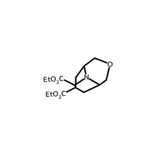 CCOC(=O)CN1C2COCC1CC(C(=O)OCC)C2